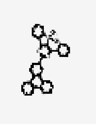 C[Si]1(C)c2ccccc2-c2nc(-c3ccc4c5ccccc5c5ccccc5c4c3)nc(-c3ccccc3)c21